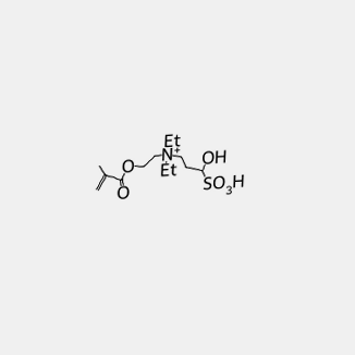 C=C(C)C(=O)OCC[N+](CC)(CC)CCC(O)S(=O)(=O)O